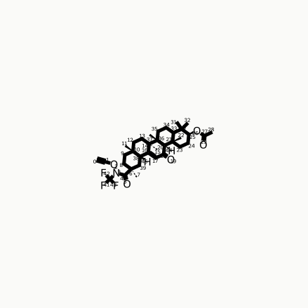 C#CON(C(=O)[C@@]1(C)CC[C@]2(C)CC[C@]3(C)C(=CC(=O)[C@@H]4[C@@]5(C)CC[C@H](OC(C)=O)C(C)(C)C5CC[C@]43C)[C@@H]2C1)C(F)(F)F